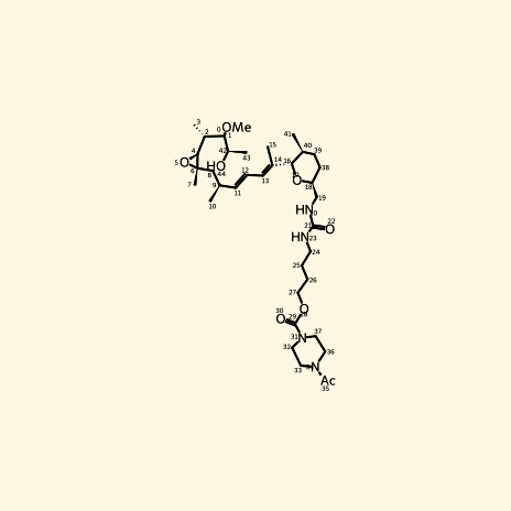 CO[C@H]([C@@H](C)[C@@H]1O[C@@]1(C)C[C@H](C)/C=C/C=C(\C)[C@H]1O[C@H](CNC(=O)NCCCCOC(=O)N2CCN(C(C)=O)CC2)CC[C@@H]1C)[C@@H](C)O